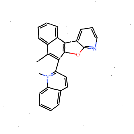 Cc1c(-c2ccc3ccccc3[n+]2C)c2oc3ncccc3c2c2ccccc12